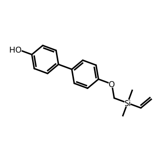 C=C[Si](C)(C)COc1ccc(-c2ccc(O)cc2)cc1